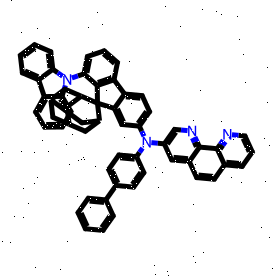 c1ccc(-c2ccc(N(c3ccc4c(c3)C3(c5c-4cccc5-n4c5ccccc5c5ccccc54)C4CC5CC(C4)CC3C5)c3cnc4c(ccc5cccnc54)c3)cc2)cc1